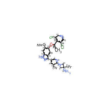 CCCC1(N)CN(c2ncc(-c3n[nH]c4cc(OC)c(O[C@H](C)c5c(Cl)cncc5Cl)cc34)cc2C#N)C1